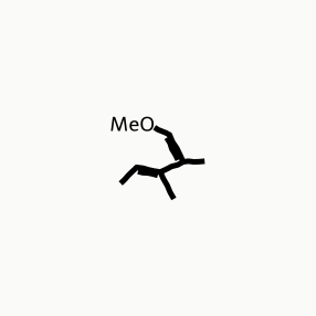 CC=C(C)C(C)=COC